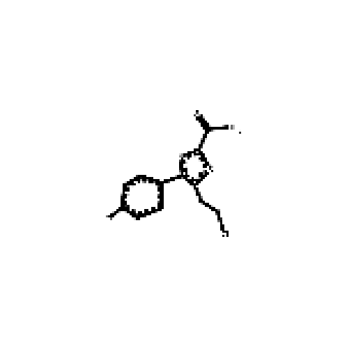 NC(=O)c1nc(-c2ccc(F)cc2)c(CCCl)s1